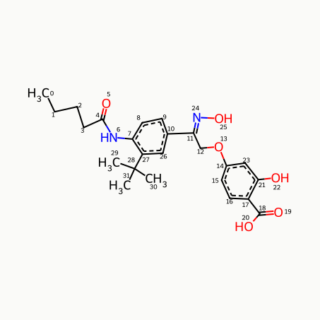 CCCCC(=O)Nc1ccc(C(COc2ccc(C(=O)O)c(O)c2)=NO)cc1C(C)(C)C